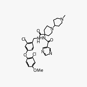 COc1ccc(Oc2ccc(CNC(=O)C3(NC(=O)c4cncnc4)CCN(C4CCN(C)CC4)CC3)c(Cl)c2)c(Cl)c1